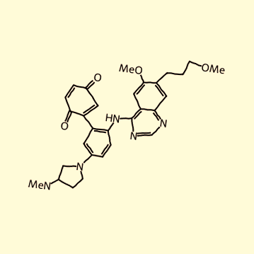 CNC1CCN(c2ccc(Nc3ncnc4cc(CCCOC)c(OC)cc34)c(C3=CC(=O)C=CC3=O)c2)C1